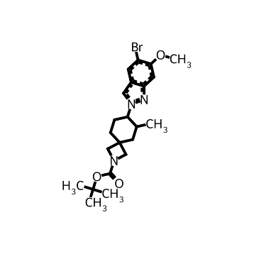 COc1cc2nn(C3CCC4(CC3C)CN(C(=O)OC(C)(C)C)C4)cc2cc1Br